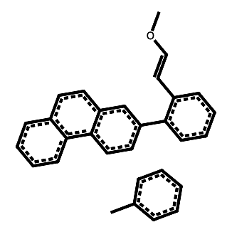 CO/C=C/c1ccccc1-c1ccc2c(ccc3ccccc32)c1.Cc1ccccc1